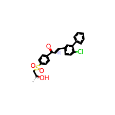 C[C@@H](O)CS(=O)(=O)c1ccc(C(=O)/C=C/c2ccc(Cl)c(-c3ccccc3)c2)cc1